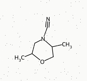 CC1CN(C#N)C(C)CO1